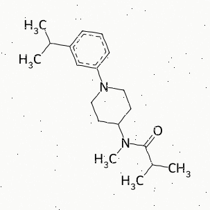 CC(C)C(=O)N(C)C1CCN(c2cccc(C(C)C)c2)CC1